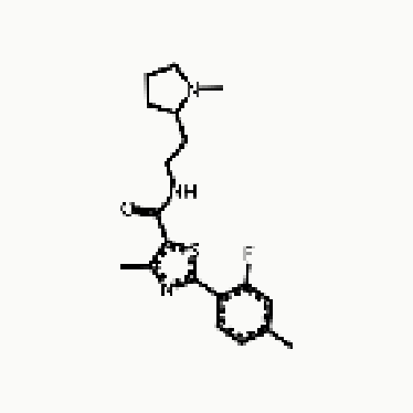 Cc1ccc(-c2nc(C)c(C(=O)NCCC3CCCN3C)s2)c(F)c1